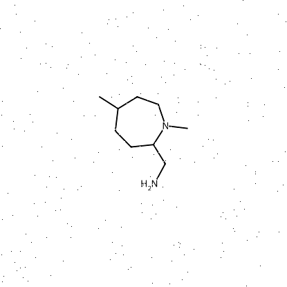 CC1CCC(CN)N(C)CC1